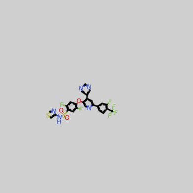 O=S(=O)(Nc1cscn1)c1cc(F)c(Oc2cnc(-c3ccc(C(F)(F)F)c(F)c3)cc2-c2cncnc2)cc1F